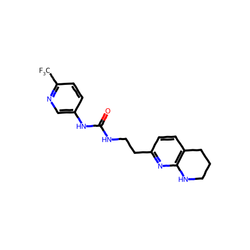 O=C(NCCc1ccc2c(n1)NCCC2)Nc1ccc(C(F)(F)F)nc1